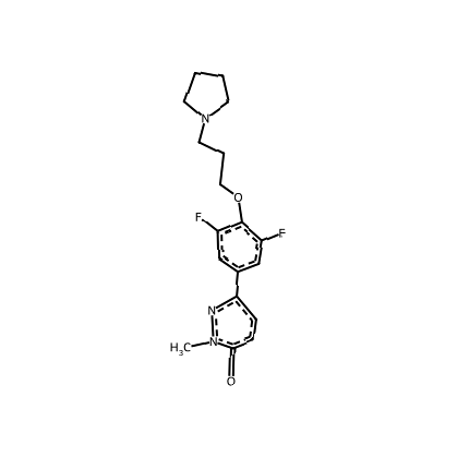 Cn1nc(-c2cc(F)c(OCCCN3CCCC3)c(F)c2)ccc1=O